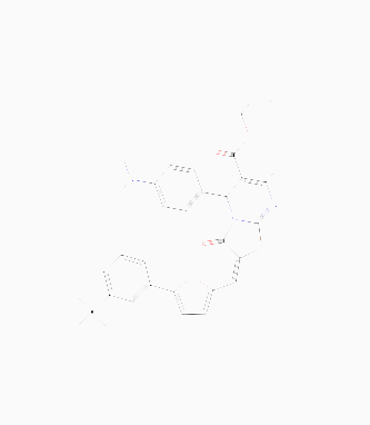 CCOC(=O)C1=C(C)N=c2s/c(=C/c3ccc(-c4cccc(C(F)(F)F)c4)o3)c(=O)n2C1c1ccc(N(C)C)cc1